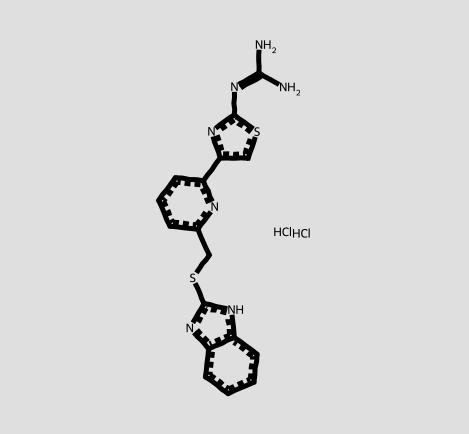 Cl.Cl.NC(N)=Nc1nc(-c2cccc(CSc3nc4ccccc4[nH]3)n2)cs1